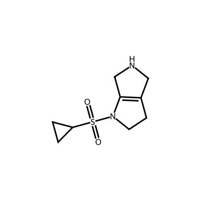 O=S(=O)(C1CC1)N1CCC2=C1CNC2